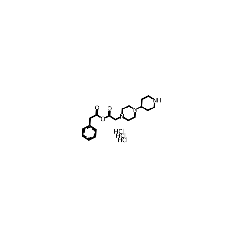 Cl.Cl.Cl.O=C(Cc1ccccc1)OC(=O)CN1CCN(C2CCNCC2)CC1